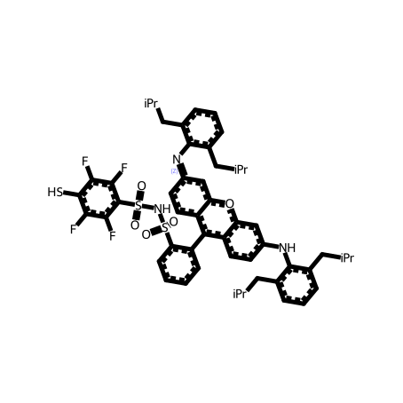 CC(C)Cc1cccc(CC(C)C)c1/N=c1/ccc2c(-c3ccccc3S(=O)(=O)NS(=O)(=O)c3c(F)c(F)c(S)c(F)c3F)c3ccc(Nc4c(CC(C)C)cccc4CC(C)C)cc3oc-2c1